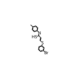 Cc1ccc(N=C(S)C=CSc2cccc(Br)c2)cc1